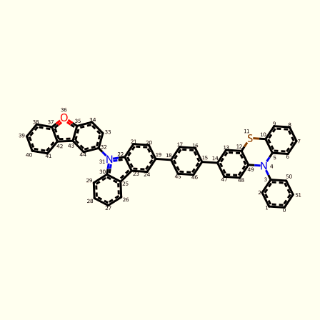 c1ccc(N2c3ccccc3Sc3cc(-c4ccc(-c5ccc6c(c5)c5ccccc5n6-c5ccc6oc7ccccc7c6c5)cc4)ccc32)cc1